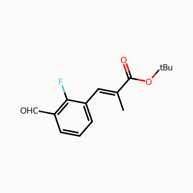 C/C(=C\c1cccc(C=O)c1F)C(=O)OC(C)(C)C